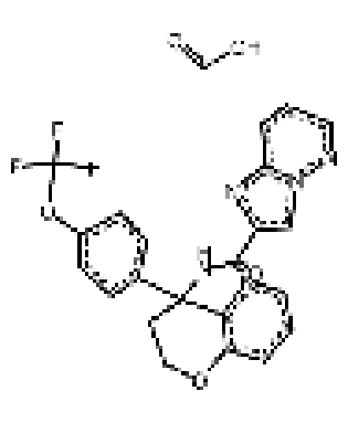 O=C(NC1(c2ccc(OC(F)(F)F)cc2)CCOc2cccnc21)c1cn2ncccc2n1.O=CO